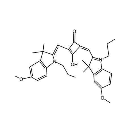 CCCN1/C(=C\C2=C(O)C(=C\C3=[N+](CCC)c4ccc(OC)cc4C3(C)C)/C2=O)C(C)(C)c2cc(OC)ccc21